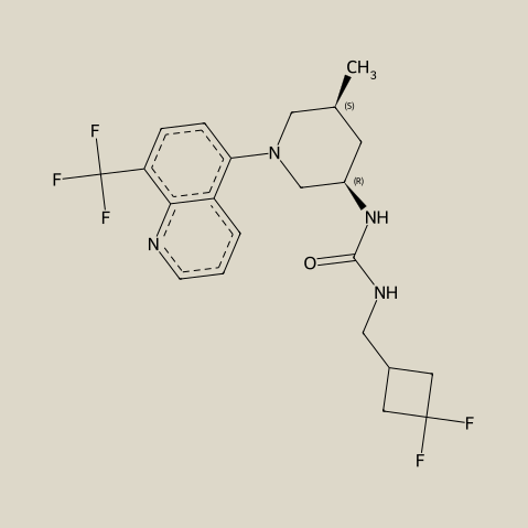 C[C@H]1C[C@@H](NC(=O)NCC2CC(F)(F)C2)CN(c2ccc(C(F)(F)F)c3ncccc23)C1